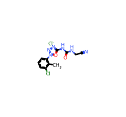 Cc1c(Cl)cccc1-[n+]1nnc(NC(=O)NCC#N)o1.[Cl-]